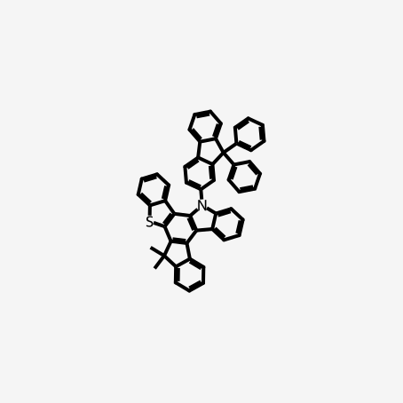 CC1(C)c2ccccc2-c2c1c1sc3ccccc3c1c1c2c2ccccc2n1-c1ccc2c(c1)C(c1ccccc1)(c1ccccc1)c1ccccc1-2